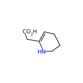 O=C(O)CC1=CCCCN1